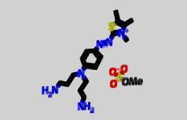 COS(=O)(=O)[O-].Cc1sc(/N=N/c2ccc(N(CCCN)CCCN)cc2)[n+](C)c1C